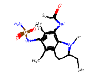 CCCN1c2c(c(C)c(NS(N)(=O)=O)c(C)c2NC(=O)C(C)(C)C)CC1CSC